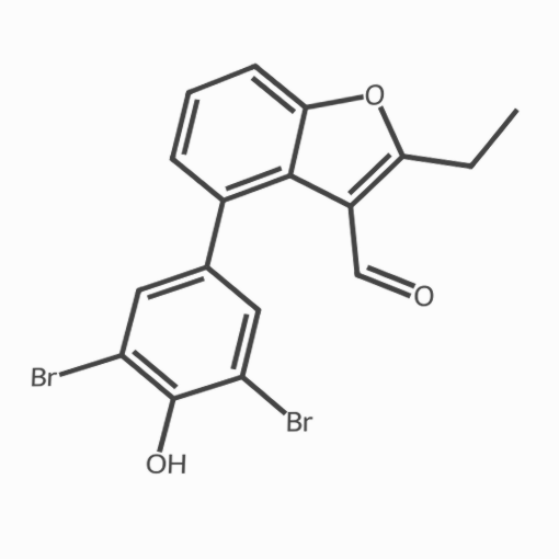 CCc1oc2cccc(-c3cc(Br)c(O)c(Br)c3)c2c1C=O